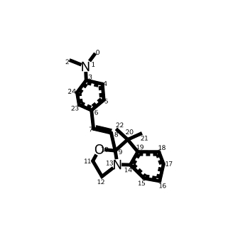 CN(C)c1ccc(C=CC23OCCN2c2cc[c]cc2C3(C)C)cc1